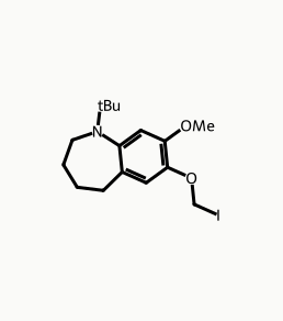 COc1cc2c(cc1OCI)CCCCN2C(C)(C)C